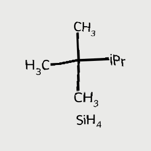 CC(C)C(C)(C)C.[SiH4]